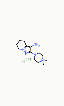 C[N+]1(C)CCN(c2nn3c(c2N)CCCC3)CC1.Cl.[Cl-]